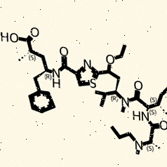 CCCN(C)[C@@H](C)C(=O)N[C@H](C(=O)N(C)[C@H](CC(OCC)c1nc(C(=O)N[C@@H](Cc2ccccc2)C[C@H](C)C(=O)O)cs1)C(C)C)[C@@H](C)CC